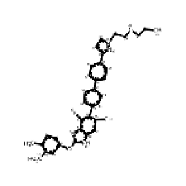 Cc1ccc(Oc2nc3c(F)c(-c4ccc(-c5ccc(-c6ccn(CCOCCO)n6)cc5)cc4)c(F)cc3[nH]2)cc1C(=O)O